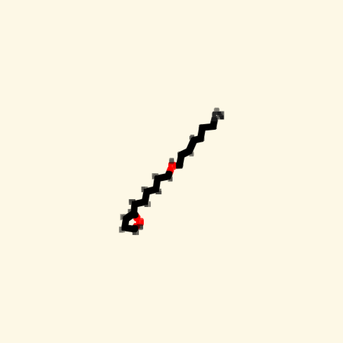 N#CCCCCCCCOCCCCCCC1CCCO1